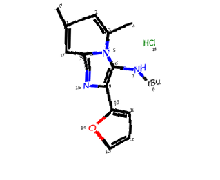 Cc1cc(C)n2c(NC(C)(C)C)c(-c3ccco3)nc2c1.Cl